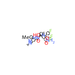 COc1cc(C(=O)NC[C@](O)(c2cc(CC(N)=O)c(OCC(F)F)c(-c3ccc(F)cc3)n2)C(F)(F)F)cc2cn(C3CC3)nc12